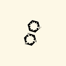 c1cc[s+]cc1.c1ncncn1